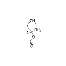 C=CC1CC1(N)OC=O